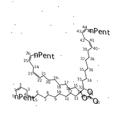 CCCCC/C=C\C/C=C\CCCCCCCCC1(CCCCCCC/C=C\C/C=C\CCCCC)OC(=O)OC1CCCCCCC/C=C\C/C=C\CCCCC